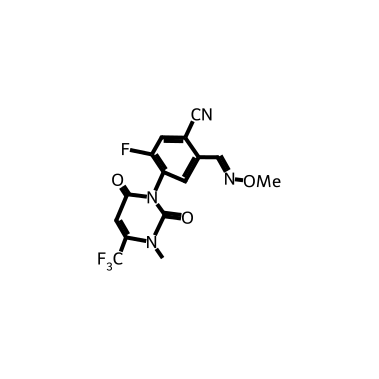 CON=Cc1cc(-n2c(=O)cc(C(F)(F)F)n(C)c2=O)c(F)cc1C#N